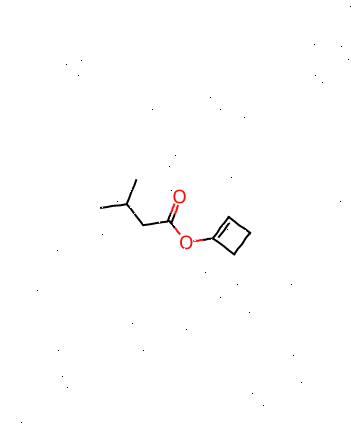 CC(C)CC(=O)OC1=CCC1